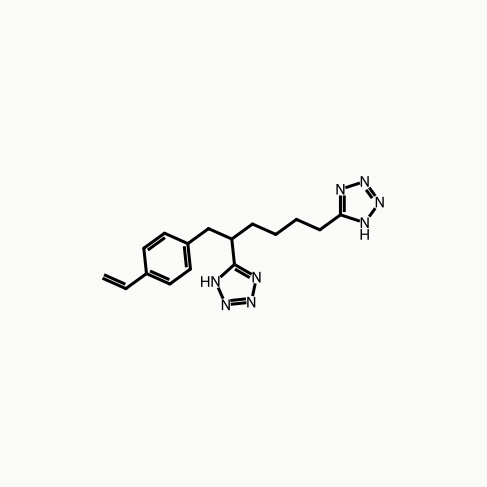 C=Cc1ccc(CC(CCCCc2nnn[nH]2)c2nnn[nH]2)cc1